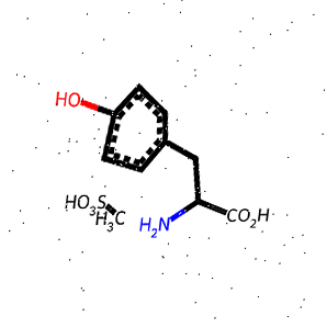 CS(=O)(=O)O.NC(Cc1ccc(O)cc1)C(=O)O